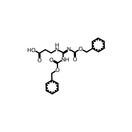 O=C(O)CCNC(=NC(=O)OCc1ccccc1)NC(=O)OCc1ccccc1